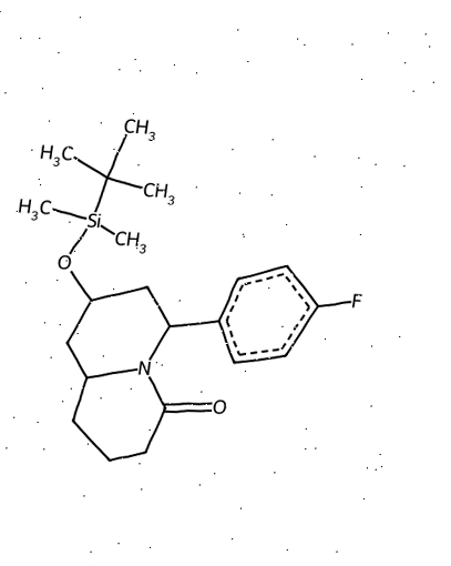 CC(C)(C)[Si](C)(C)OC1CC2CCCC(=O)N2C(c2ccc(F)cc2)C1